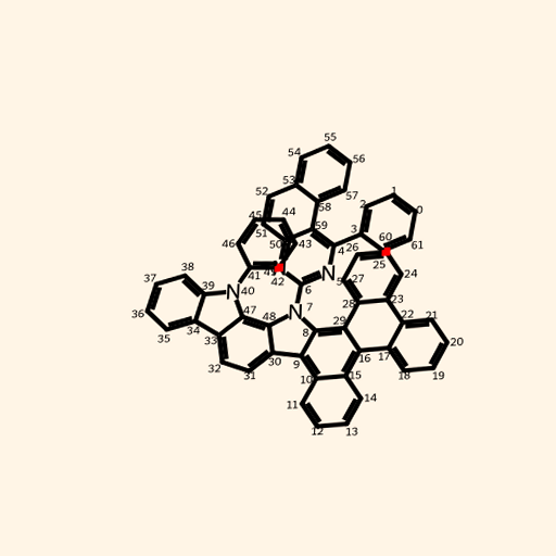 c1ccc(-c2nc(-n3c4c(c5ccccc5c5c6ccccc6c6ccccc6c54)c4ccc5c6ccccc6n(-c6ccccc6)c5c43)nc3ccc4ccccc4c23)cc1